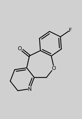 O=C1C2=CCCN=C2COc2cc(F)ccc21